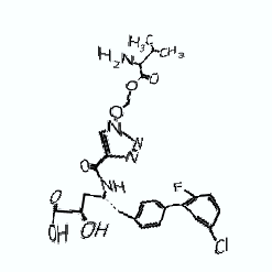 CC(C)[C@H](N)C(=O)OCOn1cc(C(=O)N[C@H](Cc2ccc(-c3cc(Cl)ccc3F)cc2)C[C@@H](O)C(=O)O)nn1